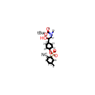 Cc1ccc(C#N)c(S(=O)(=O)Oc2ccc(C(O)CN(C)C(=O)OC(C)(C)C)cc2)c1